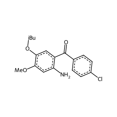 CCC(C)Oc1cc(C(=O)c2ccc(Cl)cc2)c(N)cc1OC